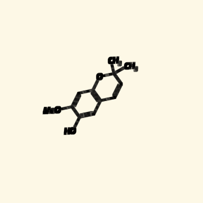 COc1cc2c(cc1O)C=CC(C)(C)O2